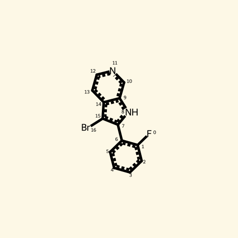 Fc1ccccc1-c1[nH]c2cnccc2c1Br